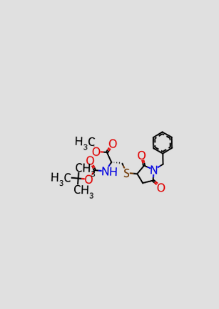 COC(=O)[C@H](CSC1CC(=O)N(Cc2ccccc2)C1=O)NC(=O)OC(C)(C)C